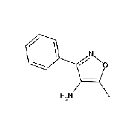 Cc1onc(-c2ccccc2)c1N